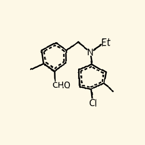 CCN(Cc1ccc(C)c(C=O)c1)c1ccc(Cl)c(C)c1